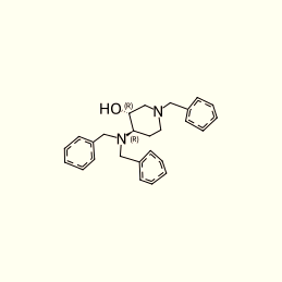 O[C@@H]1CN(Cc2ccccc2)CC[C@H]1N(Cc1ccccc1)Cc1ccccc1